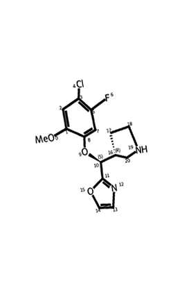 COc1cc(Cl)c(F)cc1O[C@H](c1ncco1)[C@@H]1CCNC1